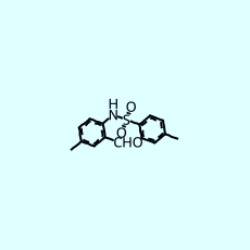 Cc1ccc(S(=O)(=O)Nc2ccc(C)cc2C=O)cc1